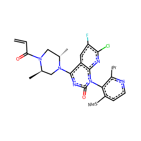 C=CC(=O)N1C[C@H](C)N(c2nc(=O)n(-c3c(SC)ccnc3C(C)C)c3nc(Cl)c(F)cc23)C[C@H]1C